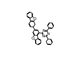 C1=CCC(c2nc(-c3ccccc3)nc(-c3cc(C4C=Cc5c(oc6ccccc56)C4)cc4oc5ccccc5c34)n2)C=C1